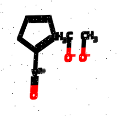 C[O-].C[O-].[O]=[V+2][C]1=CC=CC1